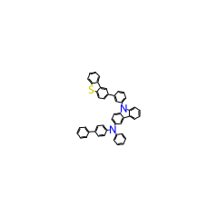 c1ccc(-c2ccc(N(c3ccccc3)c3ccc4c(c3)c3ccccc3n4-c3cccc(-c4ccc5sc6ccccc6c5c4)c3)cc2)cc1